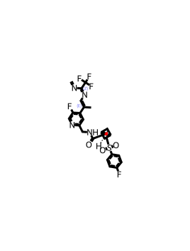 C=N/C(=N\C=C(/C)c1cc(CNC(=O)[C@@H]2C3CC(C3)N2S(=O)(=O)c2ccc(F)cc2)ncc1F)C(F)(F)F